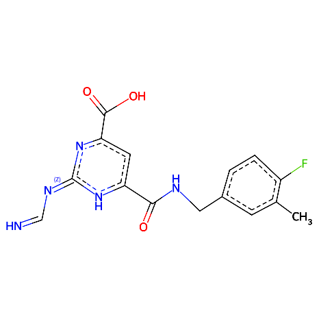 Cc1cc(CNC(=O)c2cc(C(=O)O)n/c(=N/C=N)[nH]2)ccc1F